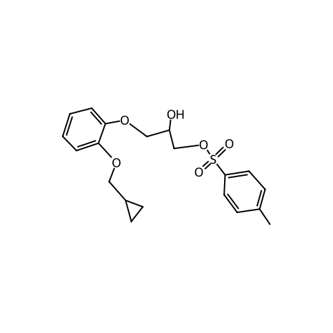 Cc1ccc(S(=O)(=O)OCC(O)COc2ccccc2OCC2CC2)cc1